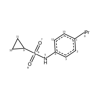 CC(C)c1ccc(NS(=O)(=O)C2CC2)cc1